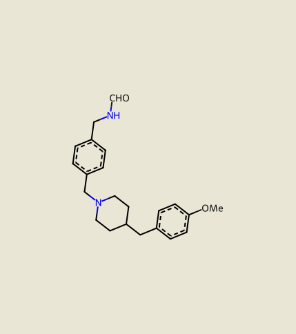 COc1ccc(CC2CCN(Cc3ccc(CNC=O)cc3)CC2)cc1